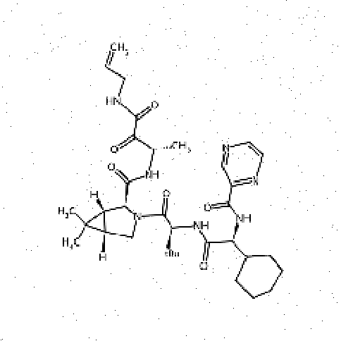 C=CCNC(=O)C(=O)[C@H](C)NC(=O)[C@@H]1[C@@H]2[C@H](CN1C(=O)[C@@H](NC(=O)[C@@H](NC(=O)c1cnccn1)C1CCCCC1)C(C)(C)C)C2(C)C